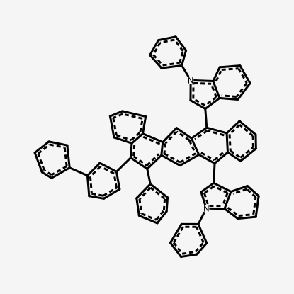 c1ccc(-c2cccc(-c3c(-c4ccccc4)c4cc5c(-c6cn(-c7ccccc7)c7ccccc67)c6ccccc6c(-c6cn(-c7ccccc7)c7ccccc67)c5cc4c4ccccc34)c2)cc1